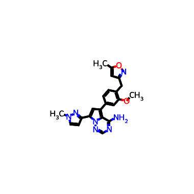 COc1cc(-c2cc(-c3ccn(C)n3)n3ncnc(N)c23)ccc1Cc1cc(C)on1